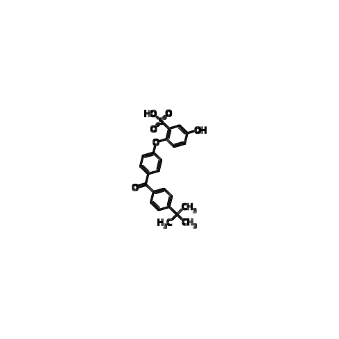 CC(C)(C)c1ccc(C(=O)c2ccc(Oc3ccc(O)cc3S(=O)(=O)O)cc2)cc1